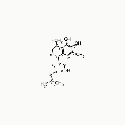 CC(C)=CCC[C@@H](CO)[C@@H]1CC[C@@H](C)c2c1cc(C)c(O)c2O